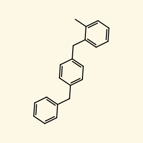 Cc1ccccc1Cc1ccc(Cc2ccccc2)cc1